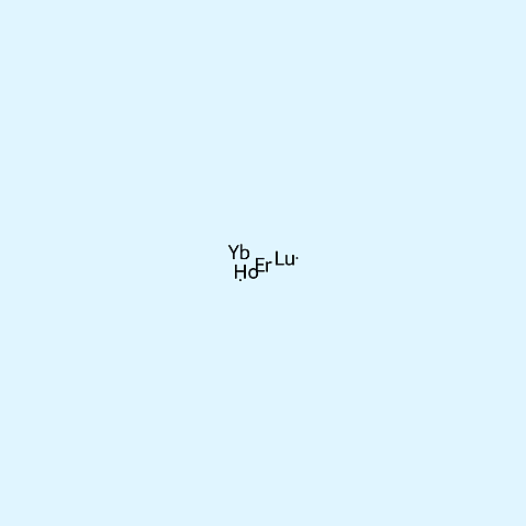 [Er].[Ho].[Lu].[Yb]